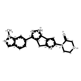 Cn1ncc2ccc(-c3n[nH]c4c3Cc3sc(N5CCOCC5=O)cc3-4)cc21